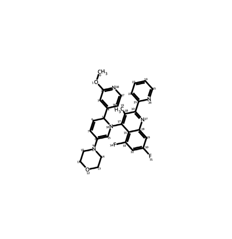 COc1cc(C2C=CC(N3CCOCC3)=CN2c2c(C)c(-c3ccccn3)nc3cc(F)cc(F)c23)ccn1